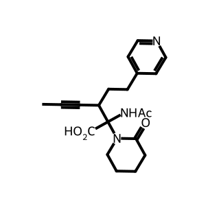 CC#CC(CCc1ccncc1)C(NC(C)=O)(C(=O)O)N1CCCCC1=O